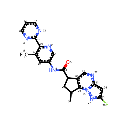 CC1CC(C(=O)Nc2cnc(-c3ncccn3)c(C(F)(F)F)c2)c2cnc3cc(F)nn3c21